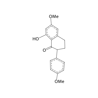 COc1ccc(C2CCc3cc(OC)cc(O)c3C2=O)cc1